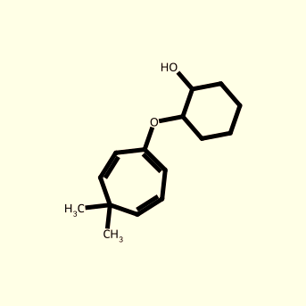 CC1(C)C=CC=C(OC2CCCCC2O)C=C1